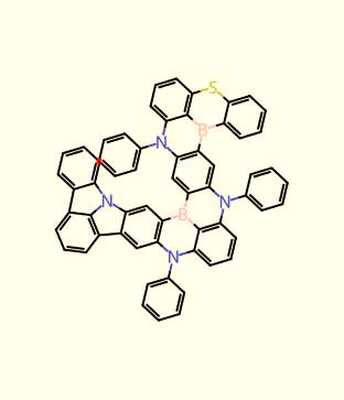 c1ccc(N2c3cc4c(cc3B3c5ccccc5Sc5cccc2c53)N(c2ccccc2)c2cccc3c2B4c2cc4c(cc2N3c2ccccc2)c2cccc3c5ccccc5n4c32)cc1